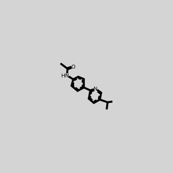 CC(=O)Nc1ccc(-c2ccc(C(C)C)cn2)cc1